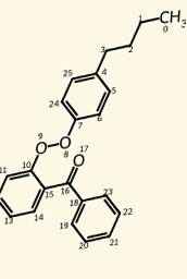 CCCCc1ccc(OOc2ccccc2C(=O)c2ccccc2)cc1